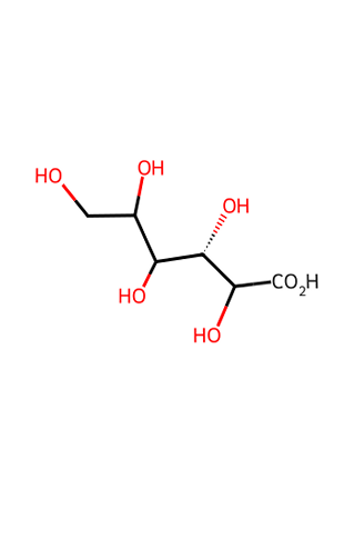 O=C(O)C(O)[C@@H](O)C(O)C(O)CO